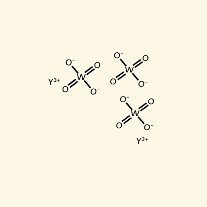 [O]=[W](=[O])([O-])[O-].[O]=[W](=[O])([O-])[O-].[O]=[W](=[O])([O-])[O-].[Y+3].[Y+3]